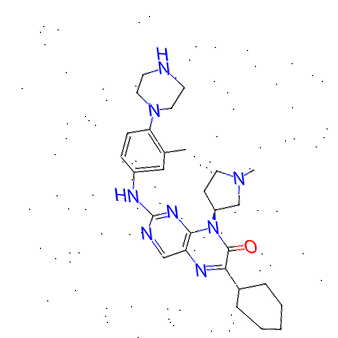 Cc1cc(Nc2ncc3nc(C4CCCCC4)c(=O)n([C@H]4CCN(C)C4)c3n2)ccc1N1CCNCC1